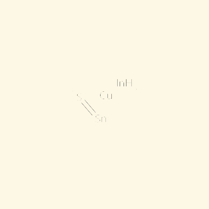 [Cu].[InH3].[S]=[Sn]